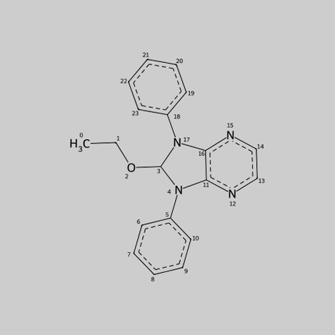 CCOC1N(c2ccccc2)c2nccnc2N1c1ccccc1